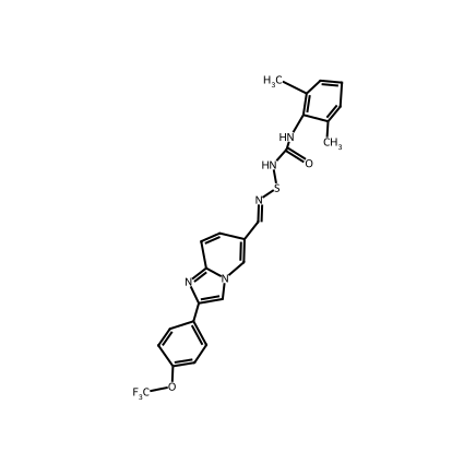 Cc1cccc(C)c1NC(=O)NS/N=C/c1ccc2nc(-c3ccc(OC(F)(F)F)cc3)cn2c1